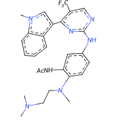 CC(=O)Nc1cc(Nc2ncc(C(F)(F)F)c(-c3cn(C)c4ccccc34)n2)ccc1N(C)CCN(C)C